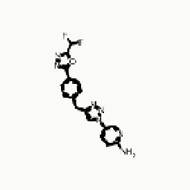 Nc1ccc(-n2cc(Cc3ccc(-c4nnc(C(F)F)o4)cc3)nn2)cn1